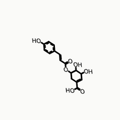 O=C(C=Cc1ccc(O)cc1)OC1CC(C(=O)O)=CC(O)C1O